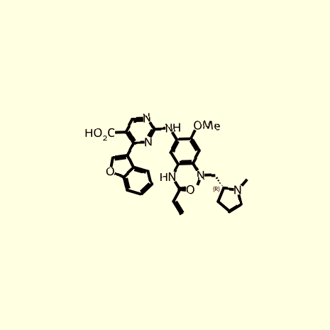 C=CC(=O)Nc1cc(Nc2ncc(C(=O)O)c(-c3coc4ccccc34)n2)c(OC)cc1N(C)C[C@H]1CCCN1C